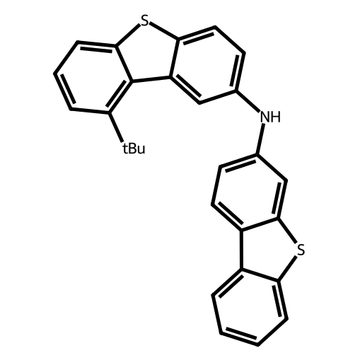 CC(C)(C)c1cccc2sc3ccc(Nc4ccc5c(c4)sc4ccccc45)cc3c12